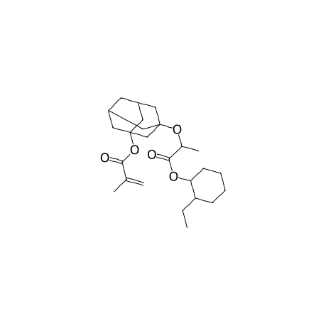 C=C(C)C(=O)OC12CC3CC(C1)CC(OC(C)C(=O)OC1CCCCC1CC)(C3)C2